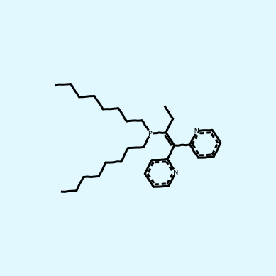 CCCCCCCCP(CCCCCCCC)C(CC)=C(c1ccccn1)c1ccccn1